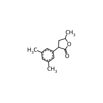 Cc1cc(C)cc(C2CC(C)OC2=O)c1